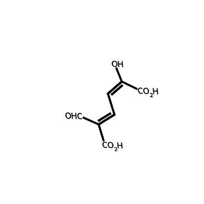 O=C/C(=C\C=C(\O)C(=O)O)C(=O)O